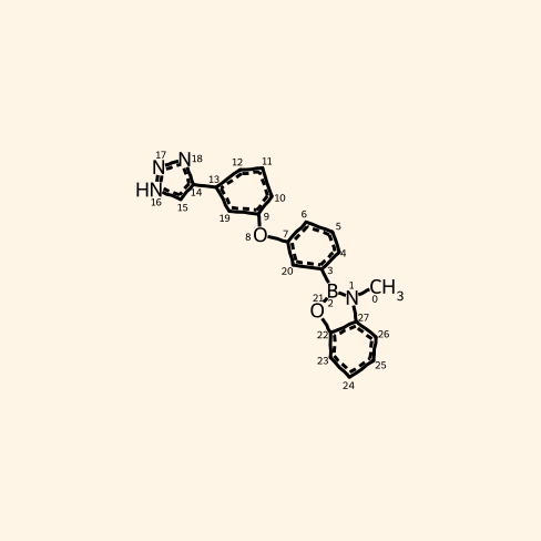 CN1B(c2cccc(Oc3cccc(-c4c[nH]nn4)c3)c2)Oc2ccccc21